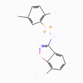 CCc1ccc(OC)c(S(=O)(=O)Nc2noc3c(C(=O)O)cccc23)c1